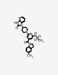 Cc1ccc2c(c1)CCN2C(=O)c1cc(NS(C)(=O)=O)nc(N2CCC(n3c(=O)[nH]c4ncccc43)CC2)c1